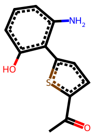 CC(=O)c1ccc(-c2c(N)cccc2O)s1